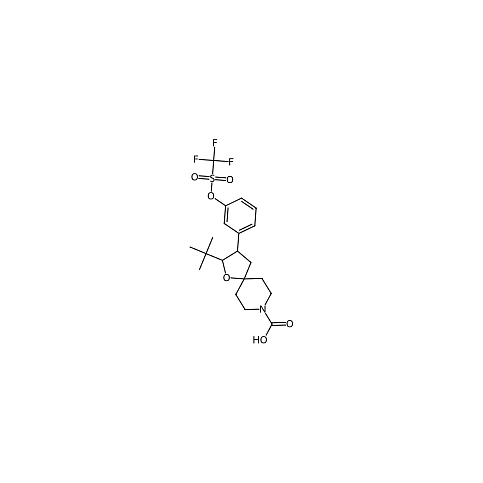 CC(C)(C)C1OC2(CCN(C(=O)O)CC2)CC1c1cccc(OS(=O)(=O)C(F)(F)F)c1